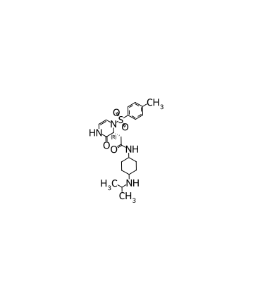 Cc1ccc(S(=O)(=O)N2C=CNC(=O)[C@H]2CC(=O)NC2CCC(NC(C)C)CC2)cc1